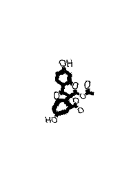 CC(=O)OC1OC2=CC(O)=CCC2C(=O)C1(OC(C)=O)c1ccc(O)cc1